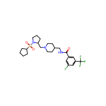 O=C(NCC1CCN(CC2CCCN2S(=O)(=O)C2CCCC2)CC1)c1cc(F)cc(C(F)(F)F)c1